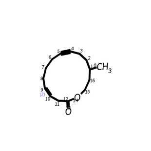 CC1CCC#CCCC/C=C\CC(=O)OCC1